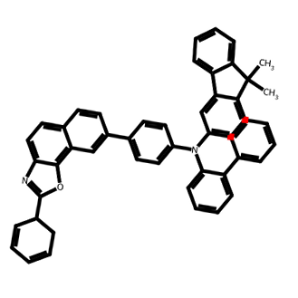 CC1(C)c2ccccc2-c2cc(N(c3ccc(-c4ccc5ccc6nc(C7C=CC=CC7)oc6c5c4)cc3)c3ccccc3-c3ccccc3)ccc21